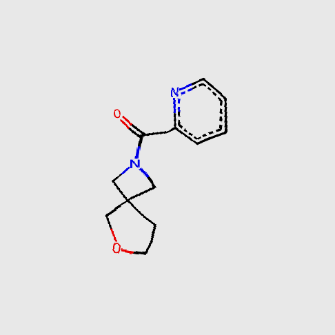 O=C(c1ccccn1)N1CC2(CCOC2)C1